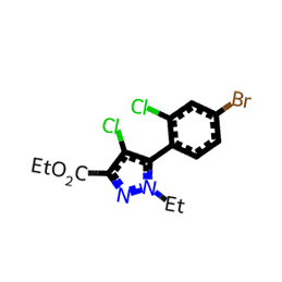 CCOC(=O)c1nn(CC)c(-c2ccc(Br)cc2Cl)c1Cl